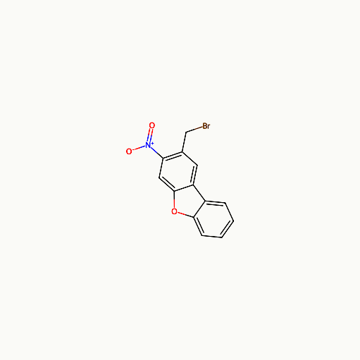 O=[N+]([O-])c1cc2oc3ccccc3c2cc1CBr